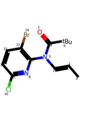 CC=CN(C(=O)C(C)(C)C)c1nc(Cl)ccc1Br